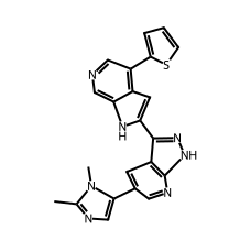 Cc1ncc(-c2cnc3[nH]nc(-c4cc5c(-c6cccs6)cncc5[nH]4)c3c2)n1C